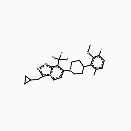 COc1c(F)ccc(F)c1C1CCN(c2ccn3c(CC4CC4)nnc3c2C(F)(F)F)CC1